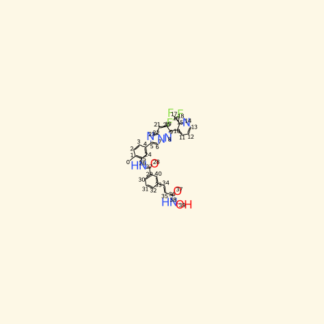 Cc1ccc(-c2cn3nc(-c4cccnc4C(F)(F)F)ccc3n2)cc1NC(=O)c1cccc(C=CC(=O)NO)c1